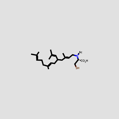 CC(=O)N(C/C=C(\C)CC(C=C(C)C)C/C=C(\C)CCC=C(C)C)[C@@H](CS)C(=O)O